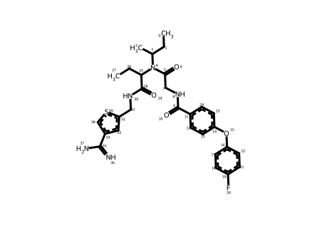 CCC(C)N(C(=O)CNC(=O)c1ccc(Oc2ccc(F)cc2)cc1)C(CC)C(=O)NCc1cc(C(=N)N)cs1